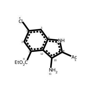 CCOC(=O)c1cc(Cl)cc2[nH]c(C(C)=O)c(N)c12